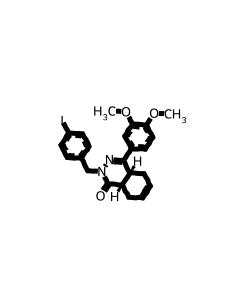 COc1ccc(C2=NN(Cc3ccc(I)cc3)C(=O)[C@H]3CC=CC[C@@H]23)cc1OC